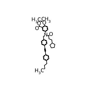 CCCCc1ccc(C#Cc2ccc(CN(C(=O)CCC3CCCC3)c3ccc4c(c3)C(=O)OC(C)(C)O4)cc2)cc1